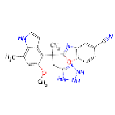 COc1cc(C)c2[nH]ccc2c1C(C)(CC1=NNNN1)c1nc2cc(C#N)ccc2o1